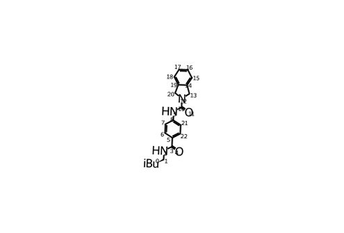 CC[C@H](C)CNC(=O)c1ccc(NC(=O)N2Cc3ccccc3C2)cc1